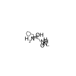 CCNC(=O)NCCC[C@H](O)[C@@H](N)CC1CCCCC1